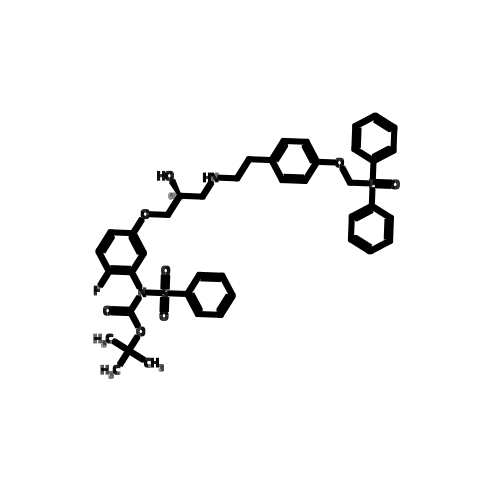 CC(C)(C)OC(=O)N(c1cc(OC[C@@H](O)CNCCc2ccc(OCP(=O)(c3ccccc3)c3ccccc3)cc2)ccc1F)S(=O)(=O)c1ccccc1